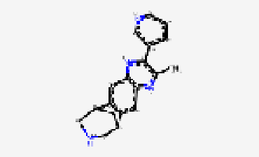 Cc1nc2cc3c(cc2nc1-c1cccnc1)C1CNCC3C1